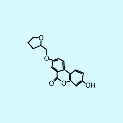 O=c1oc2cc(O)ccc2c2ccc(OCC3CCCO3)cc12